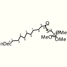 CCCCCCCCCCCCCCCCCCCC(=O)SC[Si](OC)(OC)OC